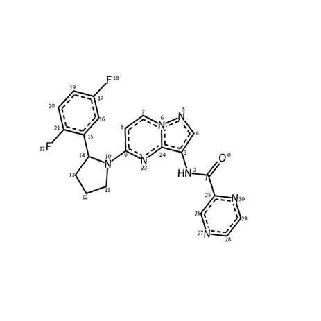 O=C(Nc1cnn2ccc(N3CCCC3c3cc(F)ccc3F)nc12)c1cnccn1